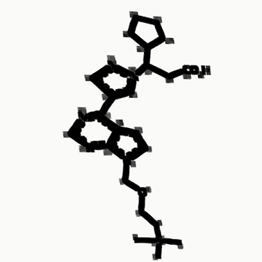 C[Si](C)(C)CCOCn1ccc2c(-c3cnn(C(CC(=O)O)C4CCCC4)c3)ncnc21